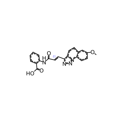 COc1ccc2c(ccc3c(/C=C/C(=O)Nc4ccccc4C(=O)O)nnn32)c1